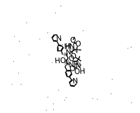 COC(=O)N[C@H](C(=O)N[C@@H](Cc1ccc(-c2ccccn2)cc1)C[C@H](O)[C@H](Cc1ccc(-c2ccccn2)cc1)NC(=O)[C@@H](N(C)C(=O)O)C(C)(C)C)C(C)(C)C